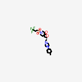 Cc1ccc(N2CCN(CC[C@@H]3CC4(CCN(S(=O)(=O)CCC(F)(F)F)CC4)C(=O)O3)CC2)cc1